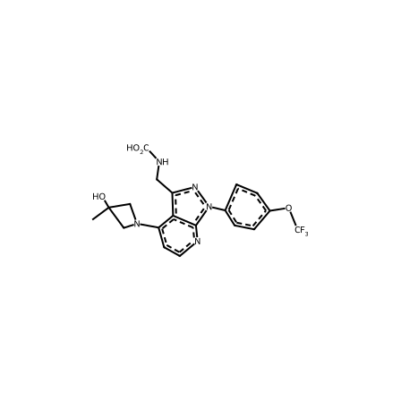 CC1(O)CN(c2ccnc3c2c(CNC(=O)O)nn3-c2ccc(OC(F)(F)F)cc2)C1